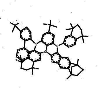 CC(C)(C)c1ccc(N2c3cc4c(cc3B3c5sc6cc7c(cc6c5N(c5ccc6c(c5)C(C)(C)CCC6(C)C)c5cc(C(C)(C)C)cc2c53)C2(C)CCC7(C)C2)C(C)(C)CCC4(C)C)c(-c2ccccc2)c1